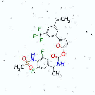 C=Cc1cc(-c2ccc(OC(=O)NC(C)c3cc(F)c(NS(C)(=O)=O)c(F)c3)o2)cc(C(F)(F)F)c1